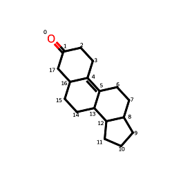 O=C1CCC2=C3CCC4CCCC4C3CCC2C1